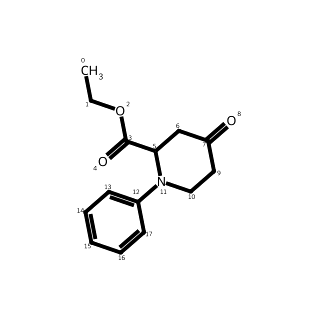 CCOC(=O)C1CC(=O)CCN1c1ccccc1